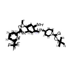 COC1=CC(=N)/C(=C\NC2CCN(C(=O)OC(C)(C)C)CC2)C=C1NC(=O)c1cccc(C(F)(F)F)n1